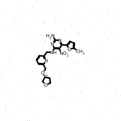 Cc1ccc(-c2nc(N)nc(NCc3cccc(CO[C@H]4CCOC4)n3)c2[N+](=O)[O-])o1